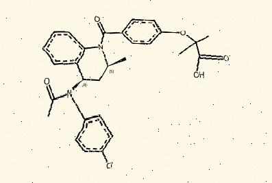 CC(=O)N(c1ccc(Cl)cc1)[C@@H]1C[C@H](C)N(C(=O)c2ccc(OC(C)(C)C(=O)O)cc2)c2ccccc21